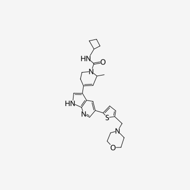 CC1C=C(c2c[nH]c3ncc(-c4ccc(CN5CCOCC5)s4)cc23)CCN1C(=O)NC1CCC1